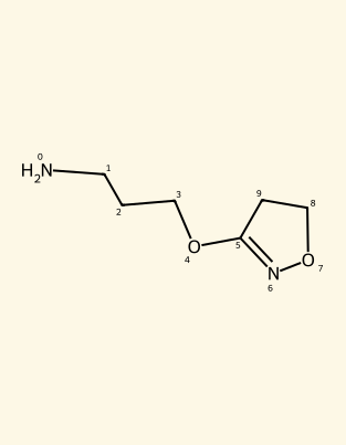 NCCCOC1=NOCC1